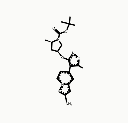 Cc1onc(O[C@H]2C[C@@H](C)N(C(=O)OC(C)(C)C)C2)c1-c1ccn2nc(N)cc2c1